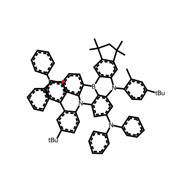 Cc1cc(C(C)(C)C)ccc1N1c2cc3c(cc2B2c4ccc(N(c5ccccc5)c5ccccc5)cc4N(c4ccc(C(C)(C)C)cc4-c4ccccc4)c4cc(N(c5ccccc5)c5ccccc5)cc1c42)C(C)(C)CC3(C)C